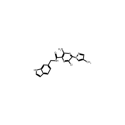 Cc1cnn(-c2nc(N)c(C(=O)NCc3ccc4cc[nH]c4c3)nc2Cl)c1